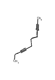 CC#CCCCC#CCC